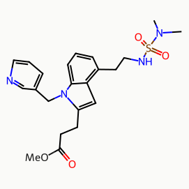 COC(=O)CCc1cc2c(CCNS(=O)(=O)N(C)C)cccc2n1Cc1cccnc1